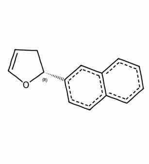 C1=CO[C@@H](c2ccc3ccccc3c2)C1